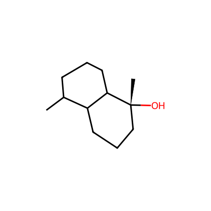 CC1CCCC2C1CCC[C@@]2(C)O